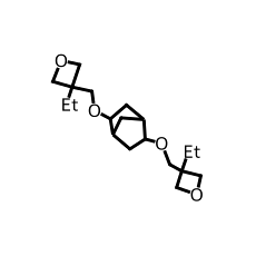 CCC1(COC2CC3CC2CC3OCC2(CC)COC2)COC1